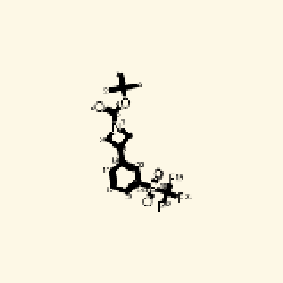 CC(C)(C)OC(=O)N1CC(c2cccc(S(=O)(=O)C(F)(F)F)c2)C1